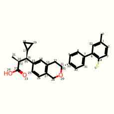 Cc1ccc(F)c(-c2ccc([C@H]3Cc4cc([C@H](C5CC5)[C@H](C)C(=O)O)ccc4CO3)cc2)c1